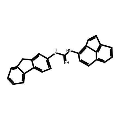 N=C(Nc1ccc2c(c1)Cc1ccccc1-2)Nc1ccc2cccc3c2c1C=C3